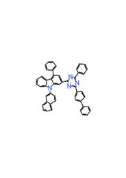 c1ccc(-c2ccc(-c3nc(-c4ccccc4)nc(-c4cc(-c5ccccc5)c5c6ccccc6n(-c6ccc7ccccc7c6)c5c4)n3)cc2)cc1